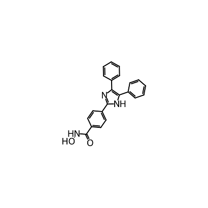 O=C(NO)c1ccc(-c2nc(-c3ccccc3)c(-c3ccccc3)[nH]2)cc1